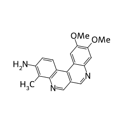 COc1cc2ncc3cnc4c(C)c(N)ccc4c3c2cc1OC